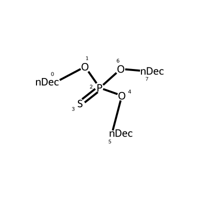 CCCCCCCCCCOP(=S)(OCCCCCCCCCC)OCCCCCCCCCC